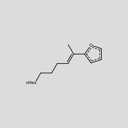 CCCCCCCCCC=C(C)c1ccco1